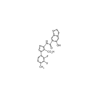 Cc1ccc(-c2scc(NC(=O)c3cc4sccc4cc3O)c2C(=O)O)c(F)c1F